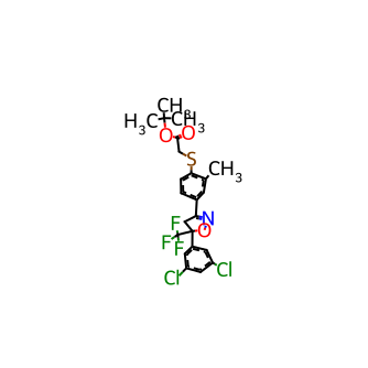 Cc1cc(C2=NOC(c3cc(Cl)cc(Cl)c3)(C(F)(F)F)C2)ccc1SCC(=O)OC(C)(C)C